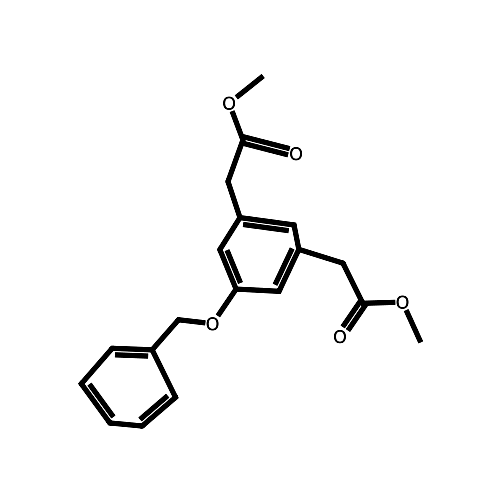 COC(=O)Cc1cc(CC(=O)OC)cc(OCc2ccccc2)c1